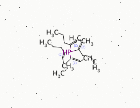 C/C=C(/CCC)[PH](/C(=C\C)CCC)(/C(=C\C)CCC)/C(=C\C)CCC